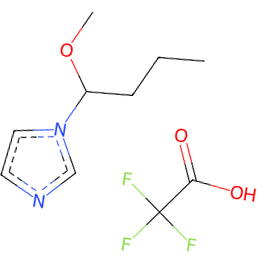 CCCC(OC)n1ccnc1.O=C(O)C(F)(F)F